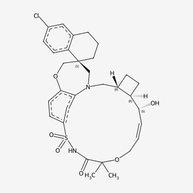 CC1(C)OCC=C[C@@H](O)[C@@H]2CC[C@H]2CN2C[C@@]3(CCCc4cc(Cl)ccc43)COc3ccc(cc32)S(=O)(=O)NC1=O